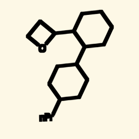 CCCC1CCC(C2CCCCC2C2CCO2)CC1